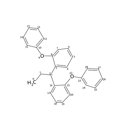 [CH2]C[C](c1ccccc1Oc1ccccc1)c1ccccc1Oc1ccccc1